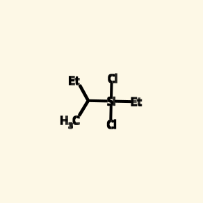 CCC(C)[Si](Cl)(Cl)CC